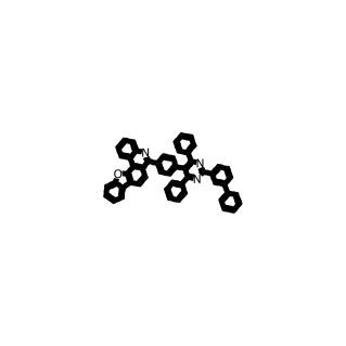 c1ccc(-c2cccc(-c3nc(-c4ccccc4)c(-c4ccc(-c5nc6ccccc6c6c5ccc5c7ccccc7oc56)cc4)c(-c4ccccc4)n3)c2)cc1